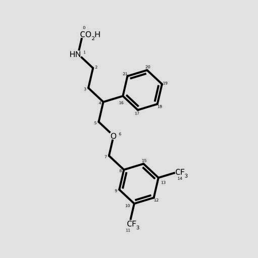 O=C(O)NCCC(COCc1cc(C(F)(F)F)cc(C(F)(F)F)c1)c1ccccc1